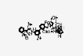 COc1c(-c2cc(C(=O)N[C@H](CN(C)C)[C@@H](N[SH](=O)=O)c3ccccc3)cc(N(C)C)c2)ccc(F)c1CN1O[C@@H](CO)[C@@H]([C@H](C)O)[C@H]1C(=O)N[C@H]1C[C@H]2C[C@@H]([C@@H]1C)C2(C)C